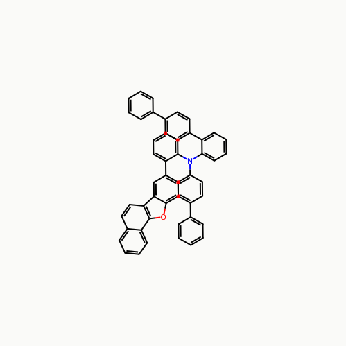 c1ccc(-c2ccc(-c3ccccc3N(c3ccc(-c4ccccc4)cc3)c3ccccc3-c3ccc4oc5c6ccccc6ccc5c4c3)cc2)cc1